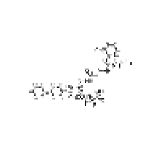 CC(NC(=O)NCCC(=O)NCC(=O)NC(CC(=O)O)c1ccc(-c2ccccc2)cc1)c1cccc(Cl)c1.O=C(O)C(F)(F)F